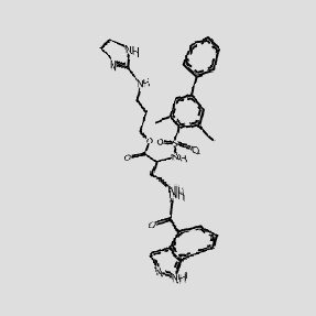 Cc1cc(-c2ccccc2)cc(C)c1S(=O)(=O)NC(CNC(=O)c1cccc2[nH]ncc12)C(=O)OCCCNC1=NCCN1